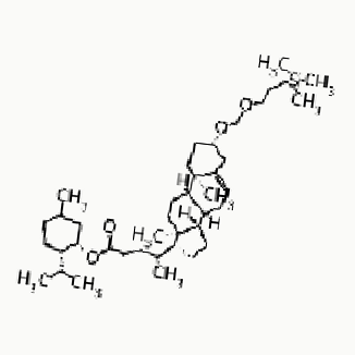 CC(C)[C@@H]1CC[C@@H](C)C[C@@H]1OC(=O)CC[C@@H](C)[C@H]1CC[C@H]2[C@@H]3CC=C4C[C@@H](OCOCC[Si](C)(C)C)CC[C@]4(C)[C@H]3CC[C@]12C